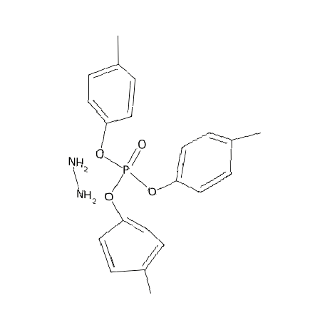 Cc1ccc(OP(=O)(Oc2ccc(C)cc2)Oc2ccc(C)cc2)cc1.NN